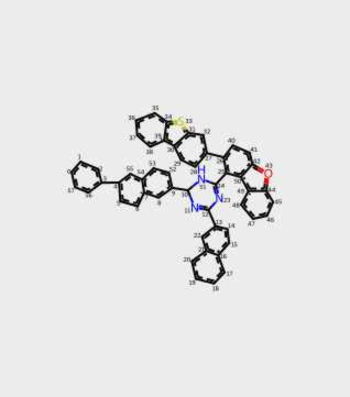 c1ccc(-c2ccc3cc(C4N=C(c5ccc6ccccc6c5)N=C(c5c(-c6ccc7c(c6)sc6ccccc67)ccc6oc7ccccc7c56)N4)ccc3c2)cc1